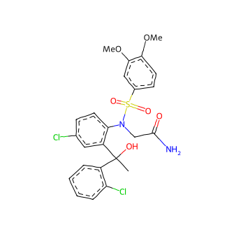 COc1ccc(S(=O)(=O)N(CC(N)=O)c2ccc(Cl)cc2C(C)(O)c2ccccc2Cl)cc1OC